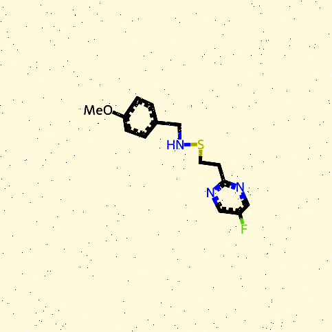 COc1ccc(CNSCCc2ncc(F)cn2)cc1